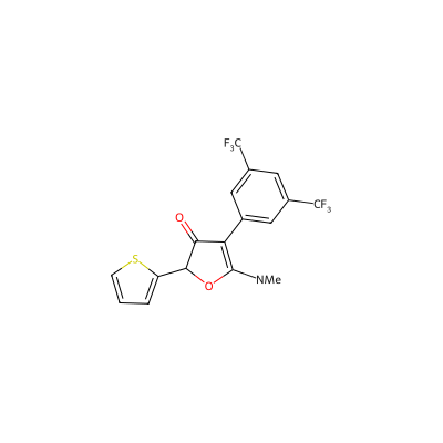 CNC1=C(c2cc(C(F)(F)F)cc(C(F)(F)F)c2)C(=O)C(c2cccs2)O1